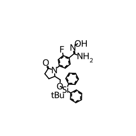 CC(C)(C)[Si](OCC1CCC(=O)N1c1ccc(C(N)=NO)c(F)c1)(c1ccccc1)c1ccccc1